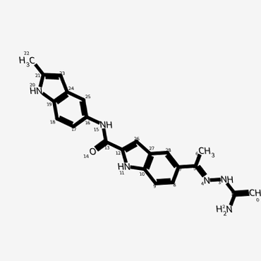 C=C(N)N/N=C(\C)c1ccc2[nH]c(C(=O)Nc3ccc4[nH]c(C)cc4c3)cc2c1